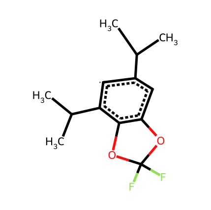 CC(C)c1[c]c(C(C)C)c2c(c1)OC(F)(F)O2